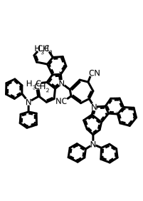 C=C(/C=C\c1c(C)c2c(/C=C\C)c(C)ccc2n1C1=CC(C#N)C=C(n2c3ccc(N(c4ccccc4)c4ccccc4)cc3c3c4ccccc4ccc32)C=C1C#N)N(c1ccccc1)c1ccccc1